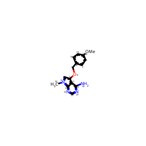 COc1ccc(COc2cn(C)c3ncnc(N)c23)cc1